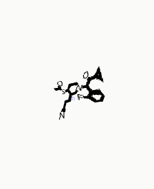 CC(=O)SC1CCN(C(C(=O)C2CC2)c2ccccc2F)C/C1=C/CC#N